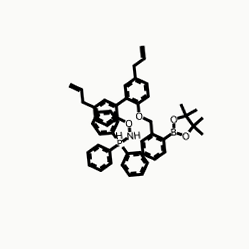 C=CCc1ccc(OCc2ccccc2B2OC(C)(C)C(C)(C)O2)c(-c2cc(CC=C)ccc2ON[PH](c2ccccc2)(c2ccccc2)c2ccccc2)c1